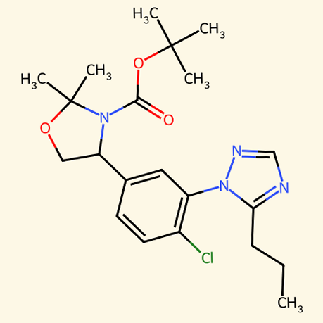 CCCc1ncnn1-c1cc(C2COC(C)(C)N2C(=O)OC(C)(C)C)ccc1Cl